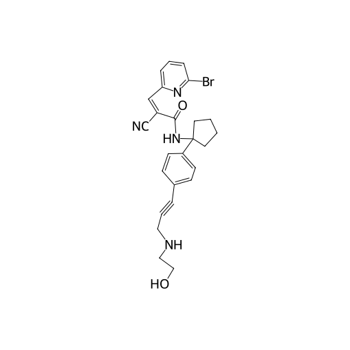 N#CC(=Cc1cccc(Br)n1)C(=O)NC1(c2ccc(C#CCNCCO)cc2)CCCC1